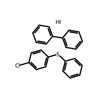 Clc1ccc(Sc2ccccc2)cc1.I.c1ccc(-c2ccccc2)cc1